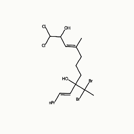 CCCC=CC(O)(CCCC(C)=CC(O)C(Cl)Cl)C(C)(Br)Br